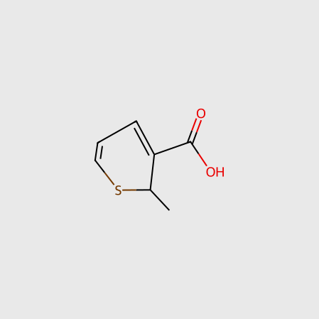 CC1SC=CC=C1C(=O)O